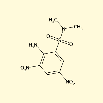 CN(C)S(=O)(=O)c1cc([N+](=O)[O-])cc([N+](=O)[O-])c1N